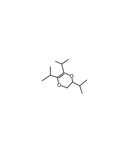 CC(C)C1=C(C(C)C)OC(C(C)C)CO1